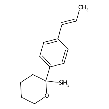 CC=Cc1ccc(C2([SiH3])CCCCO2)cc1